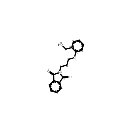 O=C1c2ccccc2C(=O)N1CCCOc1ccccc1CO